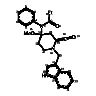 CCC(=O)N(c1ccccc1)C1(OC)CCN(Cc2c[nH]c3ccccc23)C(=C=O)C1